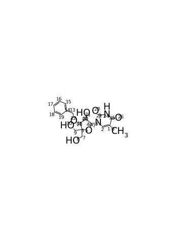 Cc1cn([C@@H]2OC(CO)(CO)[C@H](OCc3ccccc3)[C@H]2O)c(=O)[nH]c1=O